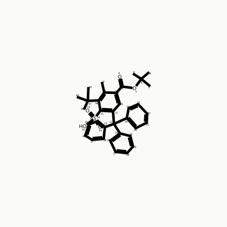 Cc1c(C(=O)OC(C)(C)C)cc(C(c2ccccc2)(c2ccccc2)c2ccccc2)c(S(=O)(=O)O)c1C(C)(C)C